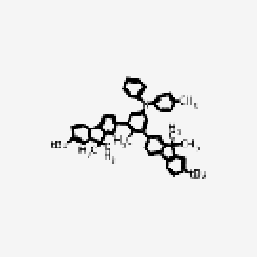 Cc1ccc(N(c2ccccc2)c2cc(-c3ccc4c(c3)C(C)(C)c3cc(C(C)(C)C)ccc3-4)c(C)c(-c3ccc4c(c3)C(C)(C)c3cc(C(C)(C)C)ccc3-4)c2)cc1